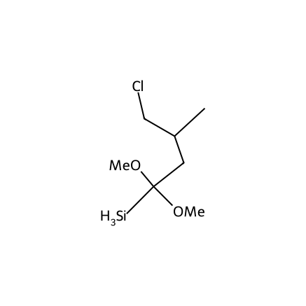 COC([SiH3])(CC(C)CCl)OC